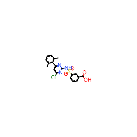 Cc1cccc(C)c1-c1cc(Cl)nc(NS(=O)(=O)c2cccc(C(=O)O)c2)n1